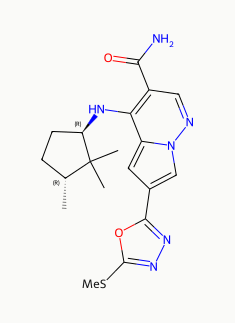 CSc1nnc(-c2cc3c(N[C@@H]4CC[C@@H](C)C4(C)C)c(C(N)=O)cnn3c2)o1